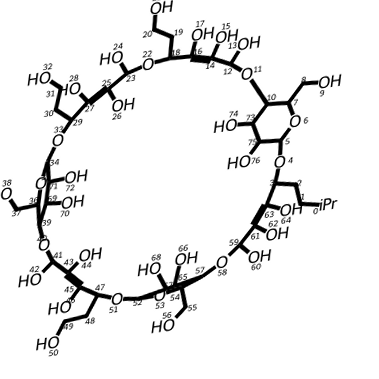 CC(C)CCC1OC2OC(CO)C(OC(O)/C(O)=C(/O)C(CCO)OC(O)/C(O)=C(\O)C(CCO)OC3OC(CO)C(OC(O)/C(O)=C(\O)C(CCO)OC4OC(CO)C(OC(O)/C(O)=C\1O)C(O)C4O)C(O)C3O)C(O)C2O